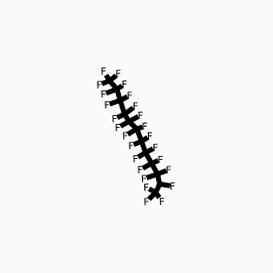 F[C](C(F)(F)F)C(F)(F)C(F)(F)C(F)(F)C(F)(F)C(F)(F)C(F)(F)C(F)(F)C(F)(F)C(F)(F)C(F)(F)F